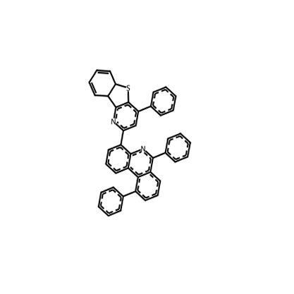 C1=CC2Sc3c(-c4ccccc4)cc(-c4cccc5c4nc(-c4ccccc4)c4cccc(-c6ccccc6)c45)nc3C2C=C1